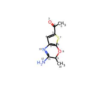 CC(=O)c1cc2c(s1)OC(C)C(N)=N2